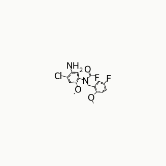 COc1cc(Cl)c(N)cc1N(Cc1c(OC)ccc(F)c1F)C(C)=O